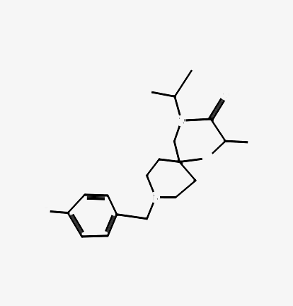 CC1OC2(CCN(Cc3ccc(F)cc3)CC2)CN(C(C)C)C1=O